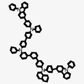 c1ccc(N(c2ccc(-c3ccc(N(c4ccccc4)c4cccc(-c5cccc(-c6ccc(N(c7ccc(-c8ccc9c(c8)c8ccccc8n9-c8ccccc8)cc7)c7cccc8ccccc78)cc6)c5)c4)cc3)cc2)c2ccc(-c3ccc4c(c3)c3ccccc3n4-c3ccccc3)cc2)cc1